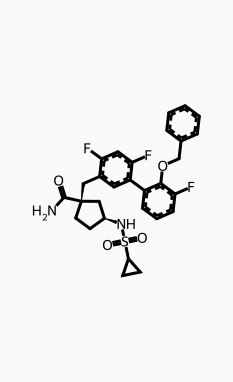 NC(=O)[C@@]1(Cc2cc(-c3cccc(F)c3OCc3ccccc3)c(F)cc2F)CC[C@H](NS(=O)(=O)C2CC2)C1